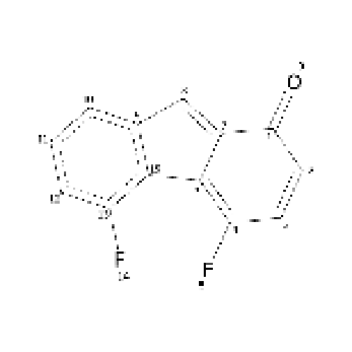 O=C1C=CC(F)=C2C1=Cc1cccc(F)c12